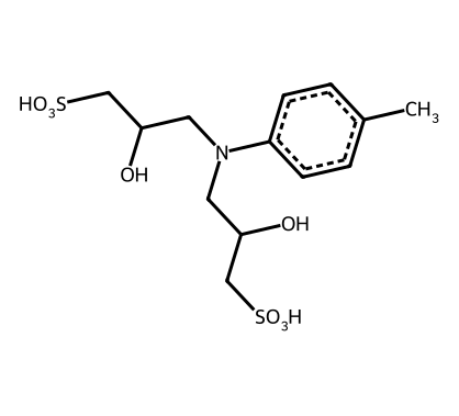 Cc1ccc(N(CC(O)CS(=O)(=O)O)CC(O)CS(=O)(=O)O)cc1